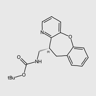 CC(C)(C)OC(=O)NC[C@H]1Cc2ccccc2Oc2cccnc21